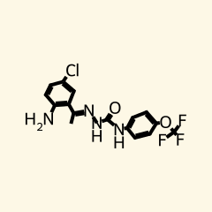 C/C(=N\NC(=O)Nc1ccc(OC(F)(F)F)cc1)c1cc(Cl)ccc1N